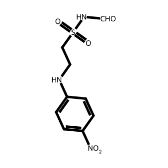 O=CNS(=O)(=O)CCNc1ccc([N+](=O)[O-])cc1